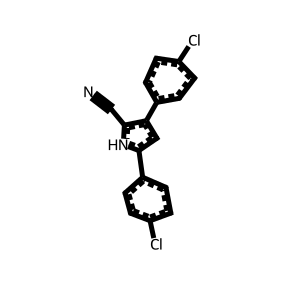 N#Cc1[nH]c(-c2ccc(Cl)cc2)cc1-c1ccc(Cl)cc1